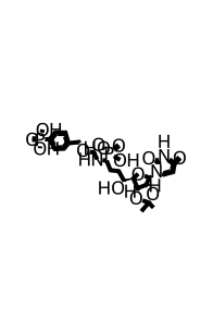 CC1(C)O[C@@H]2[C@H](O1)[C@@H](C(O)CCC(NC(=O)OCc1ccc(P(=O)(O)O)cc1)P(=O)(O)O)O[C@H]2n1ccc(=O)[nH]c1=O